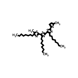 CCCCCCCCc1nc(-c2sc(-c3sc(-c4ccc(C)s4)nc3CCCCCCCC)nc2CCCCCCCC)sc1C